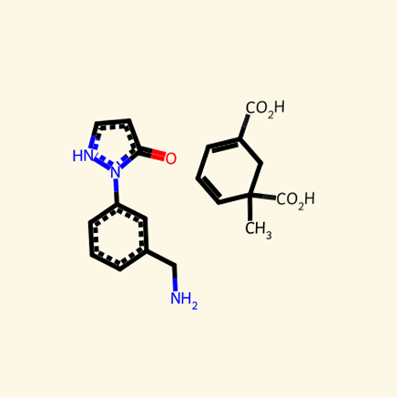 CC1(C(=O)O)C=CC=C(C(=O)O)C1.NCc1cccc(-n2[nH]ccc2=O)c1